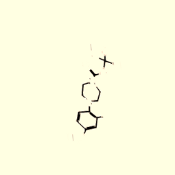 Cc1ccc(N2CCN(C(=O)OC(C)(C)C)CC2)c(F)c1